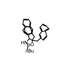 CCCCB1NC(C2CCCCC2)C(Cc2ccc3ccccc3c2)(Cc2ccc3ccccc3c2)O1